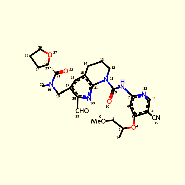 COCC(C)Oc1cc(NC(=O)N2CCCc3cc(CN(C)C(=O)[C@@H]4CCCO4)c(C=O)nc32)ncc1C#N